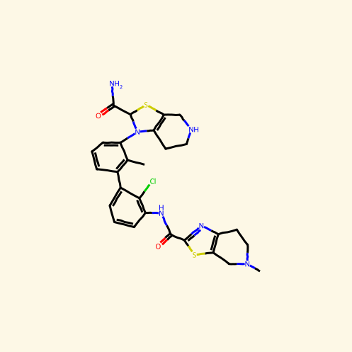 Cc1c(-c2cccc(NC(=O)c3nc4c(s3)CN(C)CC4)c2Cl)cccc1N1C2=C(CNCC2)SC1C(N)=O